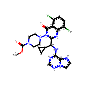 CC(C)(C)OC(=O)N1CCN(n2c(C(Nc3ncnn4ccnc34)C3CC3)nc3c(F)ccc(F)c3c2=O)CC1